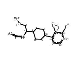 CCOCC(N=C=O)C1CCC(c2ccnc(F)c2C)CC1